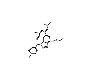 CCSNc1cc(C(/C=C(/C)C=O)=C/N(C)C)cc2c1nnn2Cc1ccc(F)cc1